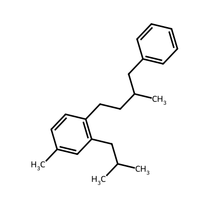 Cc1ccc(CCC(C)Cc2ccccc2)c(CC(C)C)c1